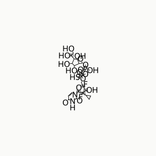 O=c1ccn([C@@H]2O[C@](F)(COP(=O)(S)OP(=O)(O)OC3OC4(O)C3C(O)C(O)C4[C@@H](O)CO)[C@@H](O)[C@]2(F)C2CC2)c(=O)[nH]1